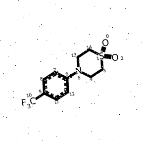 O=S1(=O)CCN(c2[c]cc(C(F)(F)F)cc2)CC1